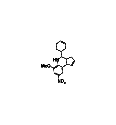 COc1cc([N+](=O)[O-])cc2c1NC(C1CC=CCC1)C1CC=CC21